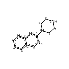 c1cnc2nc(N3CCNCC3)ncc2c1